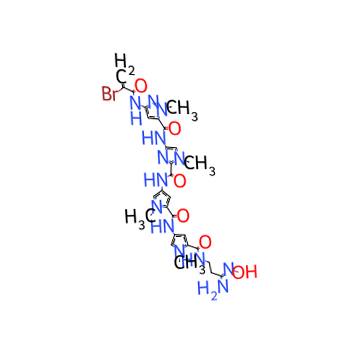 C=C(Br)C(=O)Nc1cc(C(=O)Nc2cn(C)c(C(=O)Nc3cc(C(=O)Nc4cc(C(=O)NCCC(N)=NO)n(C)c4)n(C)c3)n2)n(C)n1